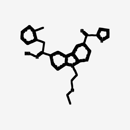 CCOCCn1c2ccc(C(=O)c3cccs3)cc2c2cc(/C(Cc3ccccc3C)=N/O)ccc21